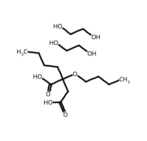 CCCCOC(CCCC)(CC(=O)O)C(=O)O.OCCO.OCCO